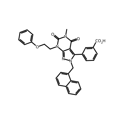 Cn1c(=O)c2c(-c3cccc(C(=O)O)c3)n(Cc3cccc4ccccc34)nc2n(CCOc2ccccc2)c1=O